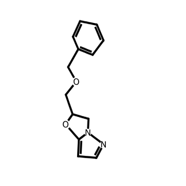 c1ccc(COCC2Cn3nccc3O2)cc1